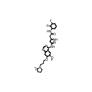 COc1cc2c(Nc3cc(CC(=O)Nc4cccc(F)c4F)[nH]n3)ncnc2cc1OCCCN1CCC[C@H]1C